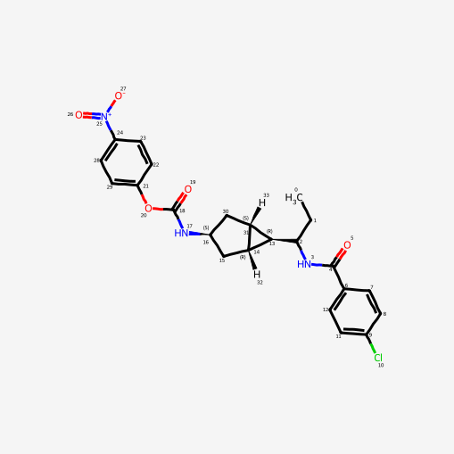 CCC(NC(=O)c1ccc(Cl)cc1)[C@H]1[C@@H]2C[C@@H](NC(=O)Oc3ccc([N+](=O)[O-])cc3)C[C@@H]21